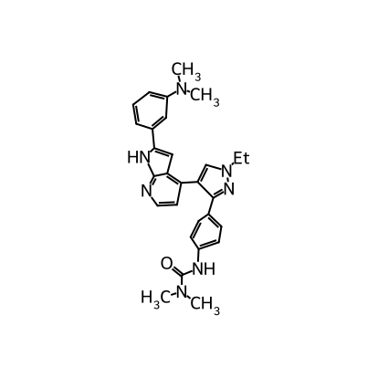 CCn1cc(-c2ccnc3[nH]c(-c4cccc(N(C)C)c4)cc23)c(-c2ccc(NC(=O)N(C)C)cc2)n1